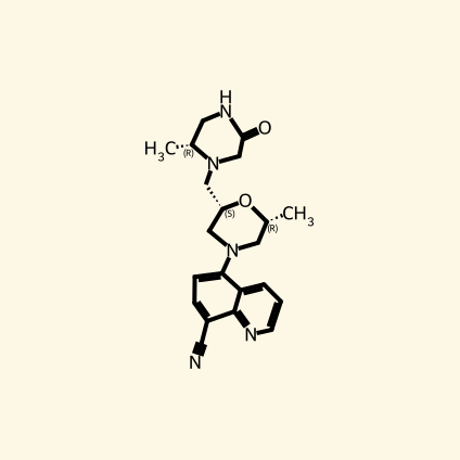 C[C@@H]1CN(c2ccc(C#N)c3ncccc23)C[C@H](CN2CC(=O)NC[C@H]2C)O1